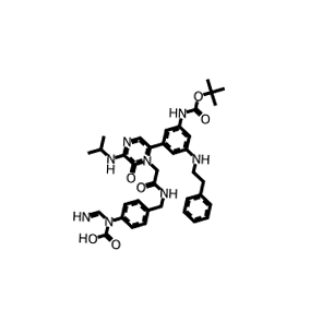 CC(C)Nc1ncc(-c2cc(NCCc3ccccc3)cc(NC(=O)OC(C)(C)C)c2)n(CC(=O)NCc2ccc(N(C=N)C(=O)O)cc2)c1=O